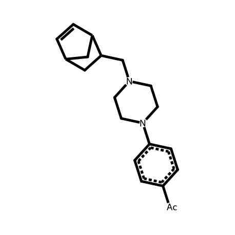 CC(=O)c1ccc(N2CCN(CC3CC4C=CC3C4)CC2)cc1